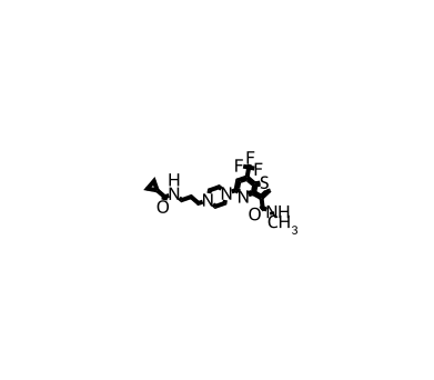 CNC(=O)c1csc2c(C(F)(F)F)cc(N3CCN(CCCNC(=O)C4CC4)CC3)nc12